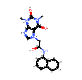 Cn1c(=O)c2c(ncn2CC(=O)Nc2cccc3ccccc23)n(C)c1=O